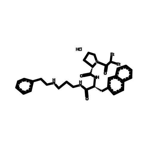 CCC(CC)C(=O)N1CCC[C@H]1C(=O)N[C@H](Cc1ccc2ccccc2c1)C(=O)NCCCNCCc1ccccc1.Cl